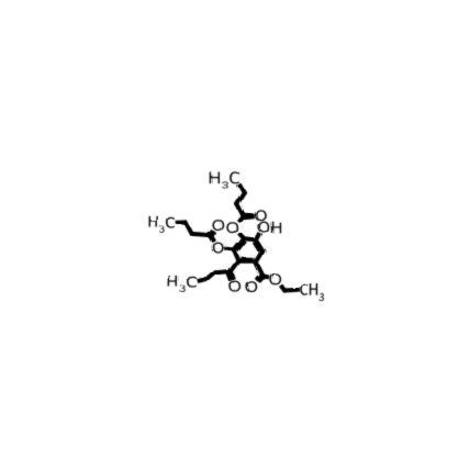 CCCC(=O)Oc1c(O)cc(C(=O)OCC)c(C(=O)CCC)c1OC(=O)CCC